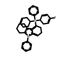 FC1=CCC(S(C2=c3c4c(n(-c5ccccc5)c3=CCC2)CCCC4)(c2ccccc2)C2CC=CCC2)C=C1